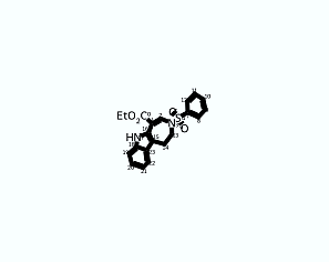 CCOC(=O)C1=CN(S(=O)(=O)c2ccccc2)CCc2c1[nH]c1ccccc21